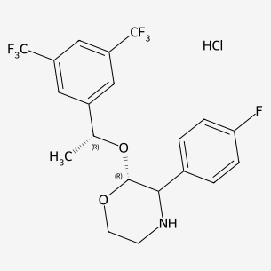 C[C@@H](O[C@H]1OCCNC1c1ccc(F)cc1)c1cc(C(F)(F)F)cc(C(F)(F)F)c1.Cl